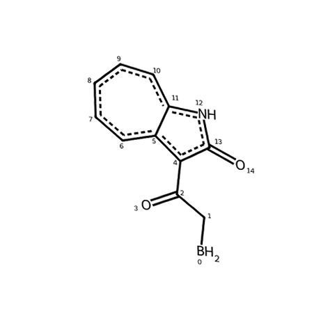 BCC(=O)c1c2cccccc-2[nH]c1=O